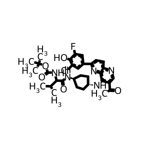 CC(=O)c1cnc2ccc(-c3cc(F)c(O)c(Cl)c3)nc2c1N[C@H]1CC[C@H](NC(=O)C(NC(=O)OC(C)(C)C)C(C)C)CC1